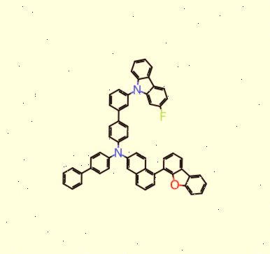 Fc1ccc2c3ccccc3n(-c3cccc(-c4ccc(N(c5ccc(-c6ccccc6)cc5)c5ccc6c(-c7cccc8c7oc7ccccc78)cccc6c5)cc4)c3)c2c1